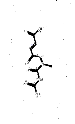 CN(OC(=O)/C=C/C(=O)O)C(=N)NC(=N)N